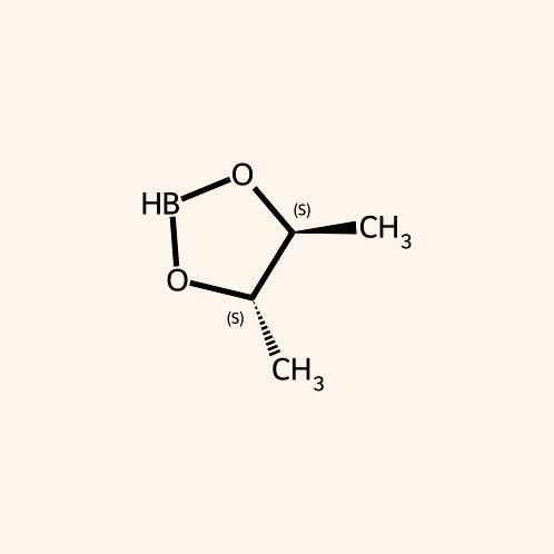 C[C@@H]1OBO[C@H]1C